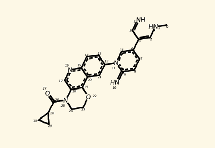 CN/C=C(\C=N)c1ccc(=N)n(-c2ccc3ncc4c(c3c2)OCCN4C(=O)C2CC2)c1